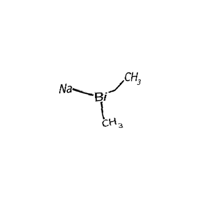 [CH3][Bi]([CH3])[Na]